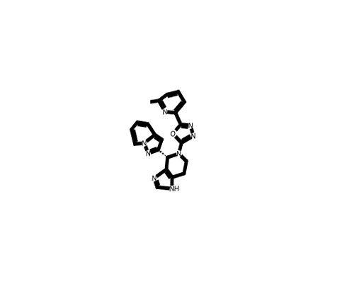 Cc1cccc(-c2nnc(N3CCc4[nH]cnc4[C@@H]3c3cc4ccccn4n3)o2)n1